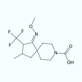 CON=C1C(C(F)(F)F)C(C)CC12CCN(C(=O)O)CC2